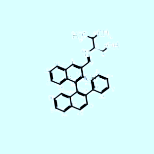 CC(C)[C@@H](CO)/N=C/c1cc2ccccc2c(-c2c(-c3ccccc3)ccc3ccccc23)c1O